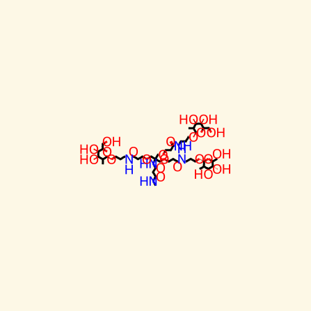 CNC(=O)CC(=O)NC(COCCC(=O)NCCCO[C@@H]1OC(CO)[C@H](O)[C@H](O)C1C)(COCCC(=O)NCCCO[C@@H]1OC(CO)[C@H](O)[C@H](O)C1C)COCCC(=O)NCCCO[C@@H]1OC(CO)[C@H](O)[C@H](O)C1C